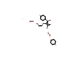 COC(=O)COC/C=C\CC1C(COCCOc2ccc(F)cc2)C2CC1(c1ccc(F)cc1)CO2